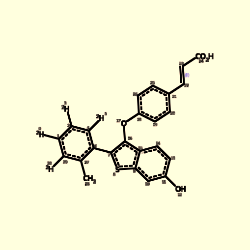 [2H]c1c([2H])c([2H])c(-c2sc3cc(O)ccc3c2Oc2ccc(/C=C/C(=O)O)cc2)c(C)c1[2H]